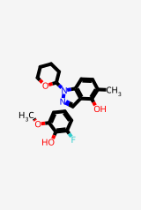 COc1cccc(F)c1O.Cc1ccc2c(cnn2C2CCCCO2)c1O